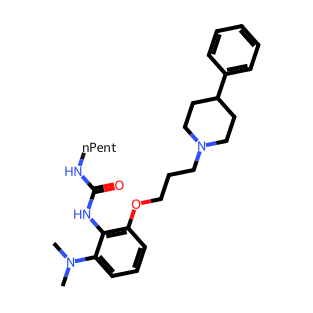 CCCCCNC(=O)Nc1c(OCCCN2CCC(c3ccccc3)CC2)cccc1N(C)C